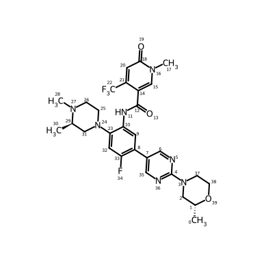 C[C@@H]1CN(c2ncc(-c3cc(NC(=O)c4cn(C)c(=O)cc4C(F)(F)F)c(N4CCN(C)[C@H](C)C4)cc3F)cn2)CCO1